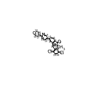 Cn1c(=O)c2ccc(-c3cnc(N4CCOCC4)nc3)cc2n1Cc1nc(Cl)ccc1Cl